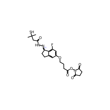 CC(C)(S)CC(=O)N/N=C1\CCc2cc(OCCCC(=O)ON3C(=O)CCC3=O)cc(F)c21